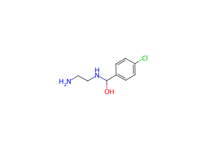 NCCNC(O)c1ccc(Cl)cc1